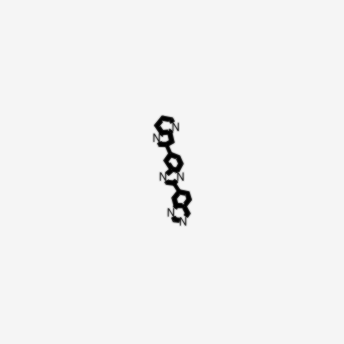 c1cnc2cc(-c3ccc4nc(-c5ccc6cncnc6c5)cnc4c3)cnc2c1